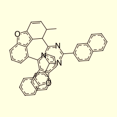 CC1C=Cc2oc3cccc(-c4cccc5oc6ccccc6c45)c3c2C1c1nc(-c2ccccc2)nc(-c2ccc3ccccc3c2)n1